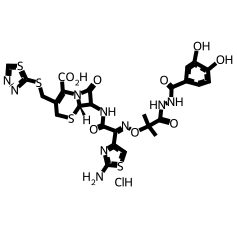 CC(C)(ON=C(C(=O)NC1C(=O)N2C(C(=O)O)=C(CSc3nncs3)CS[C@@H]12)c1csc(N)n1)C(=O)NNC(=O)c1ccc(O)c(O)c1.Cl